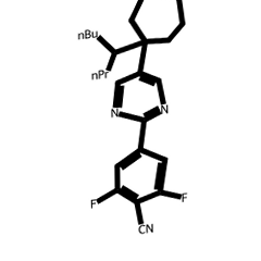 CCCCC(CCC)C1(c2cnc(-c3cc(F)c(C#N)c(F)c3)nc2)CCCCC1